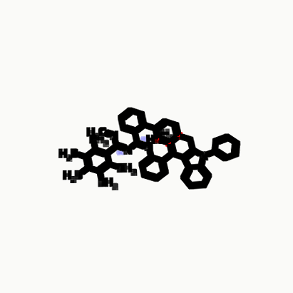 Bc1c(B)c(B)c(/C(N=C)=N/C(=N\c2ccccc2C2=C(NC)CCc3c2c2ccccc2n3-c2ccccc2)c2ccccc2-c2ccccc2)c(B)c1B